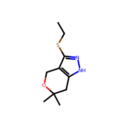 CCSc1n[nH]c2c1COC(C)(C)C2